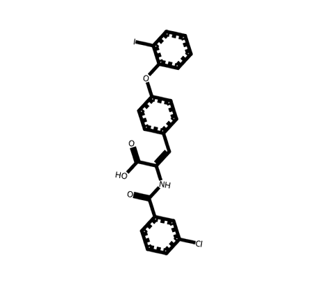 O=C(O)/C(=C\c1ccc(Oc2ccccc2I)cc1)NC(=O)c1cccc(Cl)c1